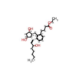 CCCCC[C@H](O)/C=C/[C@H]1[C@H](Cc2ccccc2CCCC(=O)OCC)[C@H](O)C[C@@H]1O